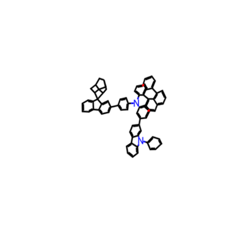 c1ccc(-c2cccc3cccc(-c4ccccc4N(c4ccc(-c5ccc6c(c5)C5(c7ccccc7-6)C6CC7CC8CC5C86C7)cc4)c4cccc(-c5ccc6c7ccccc7n(-c7ccccc7)c6c5)c4)c23)cc1